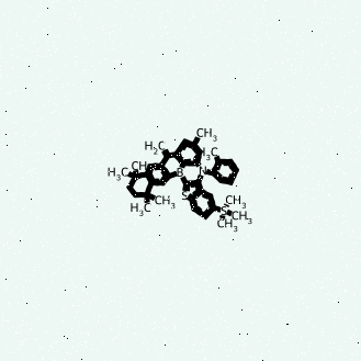 C=C1c2cc3c(cc2B2c4sc5ccc(S(C)(C)C)cc5c4N(c4ccccc4C)c4cc(C)cc1c42)C(C)(C)CCC3(C)C